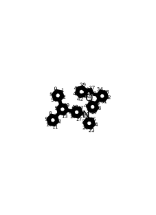 c1ccc(-c2cc(-c3ccccc3)cc(-c3ccc(N(c4ccccc4)c4ccc(-c5ccccc5-c5cc6ccccc6o5)cc4)cc3)c2)cc1